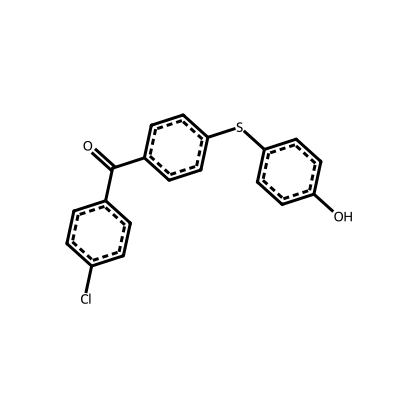 O=C(c1ccc(Cl)cc1)c1ccc(Sc2ccc(O)cc2)cc1